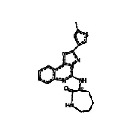 Cc1cc(-c2nc3c4ccccc4nc(N[C@H]4CCCCNC4=O)n3n2)cs1